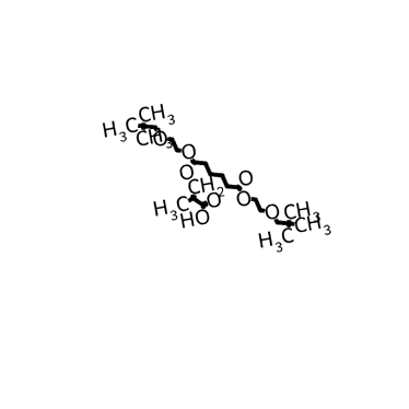 C=C(C)C(=O)O.CC(C)(C)COCCOC(=O)CCCCC(=O)OCCOCC(C)(C)C